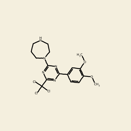 COc1ccc(-c2nc(N3CCCNCC3)nc(C(Cl)(Cl)Cl)n2)cc1OC